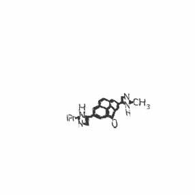 Cc1ncc(-c2cc3ccc4cc(-c5cnc(C(C)C)[nH]5)cc5c(=O)c(c2)c3c45)[nH]1